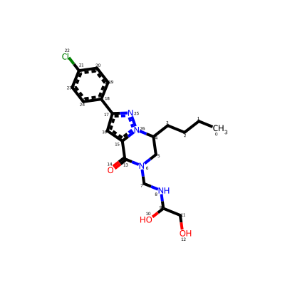 CCCCC1CN(CNC(O)CO)C(=O)c2cc(-c3ccc(Cl)cc3)nn21